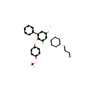 C.CCCC[C@H]1CC[C@H](c2c(F)cc(-c3ccccc3)c(Oc3ccc(OC(F)(F)F)cc3)c2F)CC1